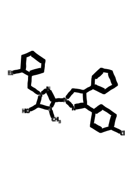 CCc1ccccc1CN1N=C(N2CC(c3ccccc3)C(c3ccc(Cl)cc3)=N2)N(C)C1O